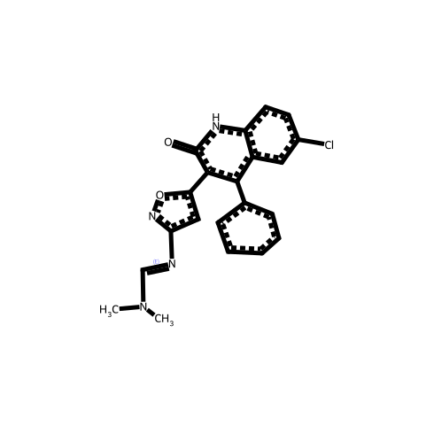 CN(C)/C=N/c1cc(-c2c(-c3ccccc3)c3cc(Cl)ccc3[nH]c2=O)on1